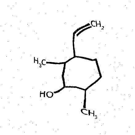 C=CC1CCC(C)C(O)C1C